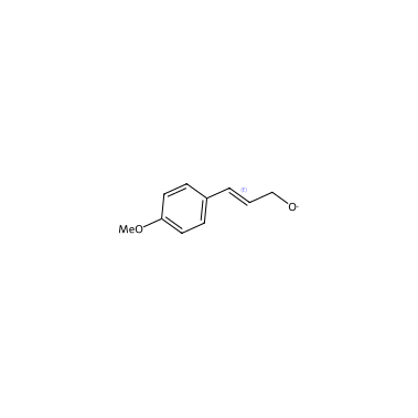 COc1ccc(/C=C/C[O])cc1